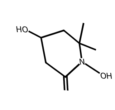 C=C1CC(O)CC(C)(C)N1O